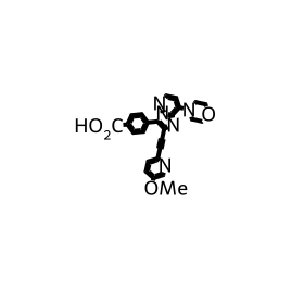 COc1ccc(C#Cc2nc3c(N4CCOCC4)ccnn3c2-c2ccc(C(=O)O)cc2)nc1